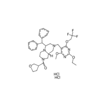 CCOc1nc(OC)c(CN2CC(C(c3ccccc3)c3ccccc3)N3CCN(C(=O)C4CCOC4)C[C@H]3C2)c(OCC(F)(F)F)n1.Cl.Cl